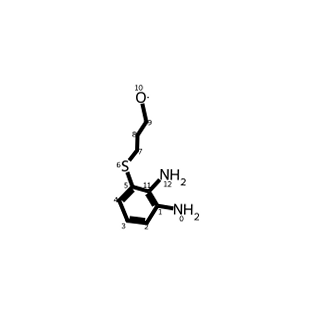 Nc1cccc(SCCC[O])c1N